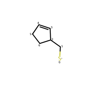 [S]CC1C=CCC1